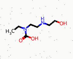 CCN(CCNCCO)C(=O)O